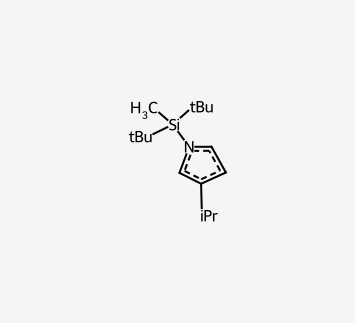 CC(C)c1ccn([Si](C)(C(C)(C)C)C(C)(C)C)c1